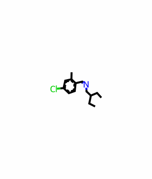 CCC(CC)C/N=C\c1ccc(Cl)cc1C